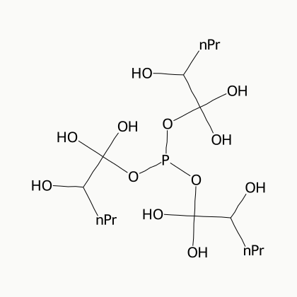 CCCC(O)C(O)(O)OP(OC(O)(O)C(O)CCC)OC(O)(O)C(O)CCC